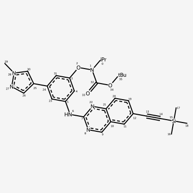 CC(C)N(Oc1cc(Nc2ncc3cc(C#C[Si](C)(C)C)ccc3n2)cc(-c2cnn(C)c2)c1)C(=O)OC(C)(C)C